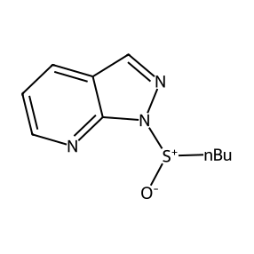 CCCC[S+]([O-])n1ncc2cccnc21